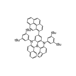 CC(C)(C)c1cc(N2c3cc(-c4ccc5ccc6cccc7ccc4c5c67)cc4c3B(c3c2ccc2ccccc32)c2c(ccc3ccccc23)N4c2cc(C(C)(C)C)cc(C(C)(C)C)c2)cc(C(C)(C)C)c1